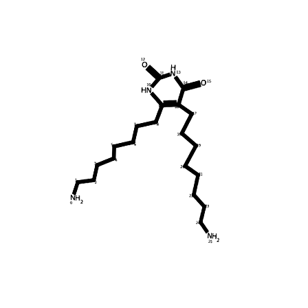 NCCCCCCCCc1[nH]c(=O)[nH]c(=O)c1CCCCCCCCN